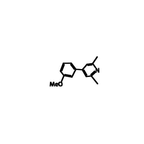 COc1cccc(-c2cc(C)nc(C)c2)c1